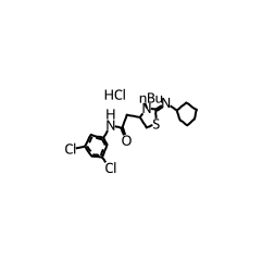 CCCCN1/C(=N/C2CCCCC2)SCC1CC(=O)Nc1cc(Cl)cc(Cl)c1.Cl